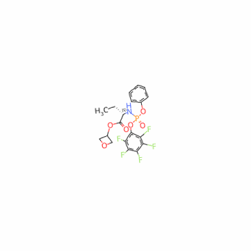 CC[C@H](NP(=O)(Oc1ccccc1)Oc1c(F)c(F)c(F)c(F)c1F)C(=O)OC1COC1